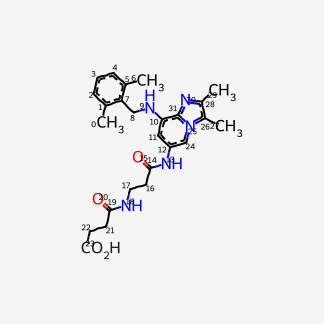 Cc1cccc(C)c1CNc1cc(NC(=O)CCNC(=O)CCC(=O)O)cn2c(C)c(C)nc12